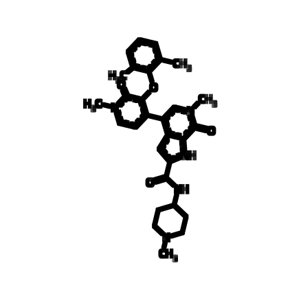 Cc1cccc(C)c1Oc1c(-c2cn(C)c(=O)c3[nH]c(C(=O)NC4CCN(C)CC4)cc23)ccn(C)c1=O